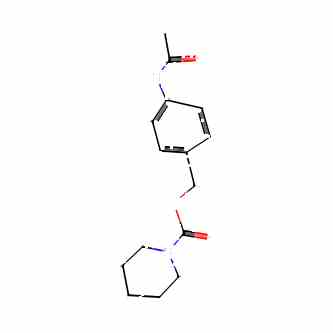 CC(=O)Nc1ccc(COC(=O)N2CCCCC2)cc1